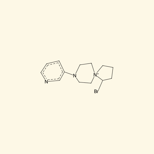 BrC1CCC[N+]12CCN(c1cccnc1)CC2